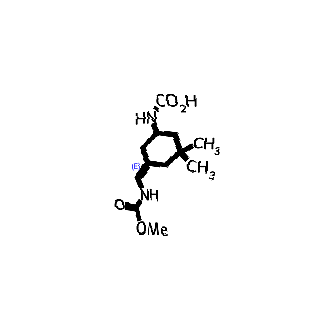 COC(=O)N/C=C1/CC(NC(=O)O)CC(C)(C)C1